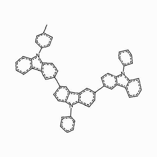 Cc1ccc(-n2c3ccccc3c3cc(-c4ccc5c(c4)c4cc(-c6ccc7c(c6)c6ccccc6n7-c6ccccc6)ccc4n5-c4ccccc4)ccc32)cc1